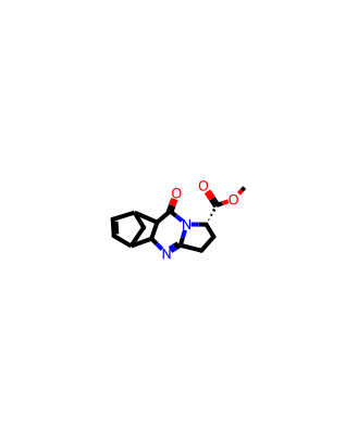 COC(=O)[C@@H]1CCC2=NC3C4C=CC(C4)C3C(=O)N21